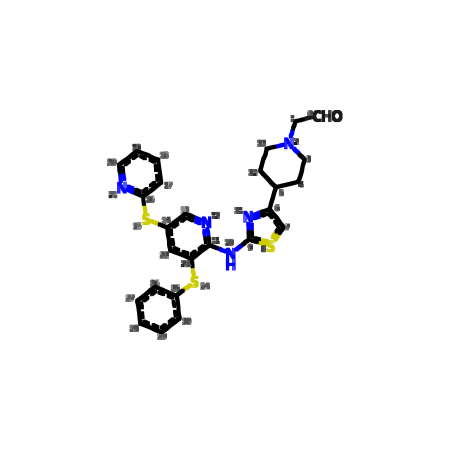 O=CCN1CCC(c2csc(Nc3ncc(Sc4ccccn4)cc3Sc3ccccc3)n2)CC1